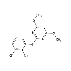 COc1cc(OC)nc(Sc2cccc(Cl)[c]2[Na])n1